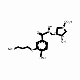 COCCCOc1cc(C(=O)N(C[C@@H]2CN(C(=O)O)C[C@H]2O)C(C)C)ccc1OC